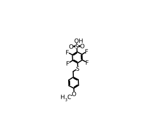 COc1ccc(CSc2c(F)c(F)c(S(=O)(=O)O)c(F)c2F)cc1